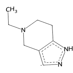 CCN1CCc2[nH]n[c]c2C1